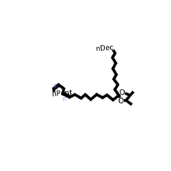 CCCCC/C=C\C/C=C\CCCCCCCCC1(CCCCCCCCCCCCCCCCCC)OC(C)C(C)O1